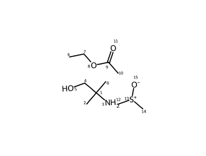 CC(C)(N)CO.CCOC(C)=O.C[S+](C)[O-]